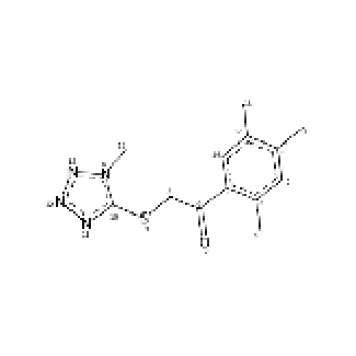 Cc1cc(C)c(C(=O)CSc2nnnn2C)cc1C